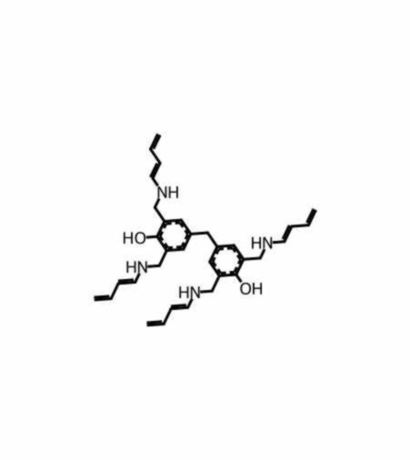 C=CC=CNCc1cc(Cc2cc(CNC=CC=C)c(O)c(CNC=CC=C)c2)cc(CNC=CC=C)c1O